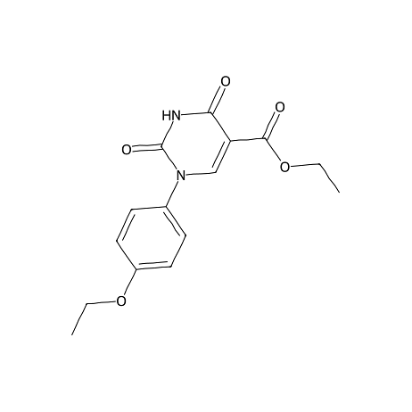 CCOC(=O)c1cn(-c2ccc(OCC)cc2)c(=O)[nH]c1=O